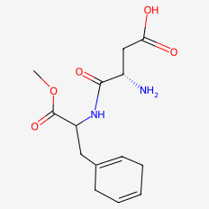 COC(=O)C(CC1=CCC=CC1)NC(=O)[C@@H](N)CC(=O)O